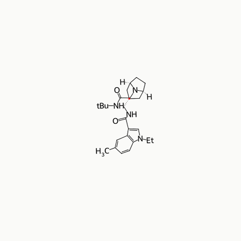 CCn1cc(C(=O)NC[C@@H]2C[C@H]3CC[C@@H](C2)N3CC(=O)NC(C)(C)C)c2cc(C)ccc21